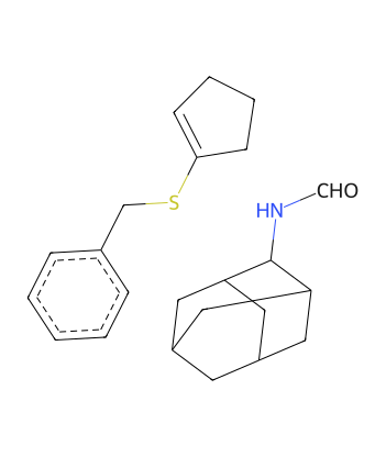 C1=C(SCc2ccccc2)CCC1.O=CNC1C2CC3CC(C2)CC1C3